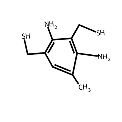 Cc1cc(CS)c(N)c(CS)c1N